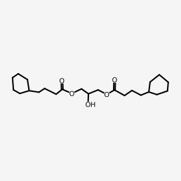 O=C(CCCC1CCCCC1)OCC(O)COC(=O)CCCC1CCCCC1